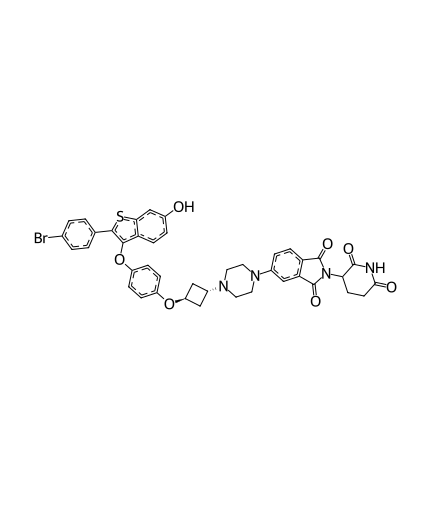 O=C1CCC(N2C(=O)c3ccc(N4CCN([C@H]5C[C@H](Oc6ccc(Oc7c(-c8ccc(Br)cc8)sc8cc(O)ccc78)cc6)C5)CC4)cc3C2=O)C(=O)N1